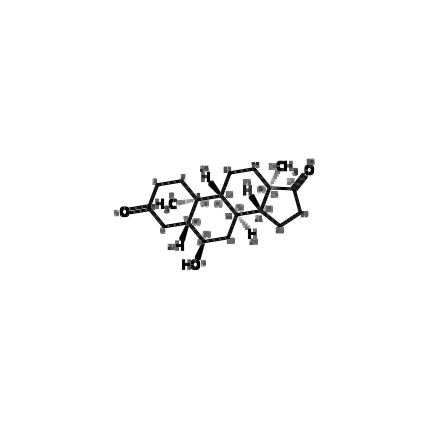 C[C@@]12CCC(=O)C[C@H]1[C@H](O)C[C@H]1[C@H]2CC[C@@]2(C)C(=O)CC[C@H]12